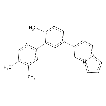 Cc1cnc(-c2cc(-c3ccc4cccn4c3)ccc2C)cc1C